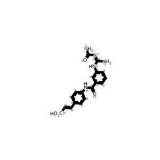 NC(=O)/N=C(/N)Nc1cccc(C(=O)Nc2ccc(/C=C/C(=O)O)cc2)c1